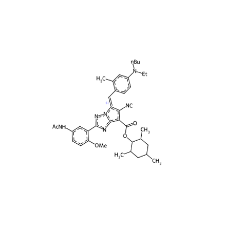 [C-]#[N+]c1c(C(=O)OC2C(C)CC(C)CC2C)c2nc(-c3cc(NC(C)=O)ccc3OC)nn2/c1=C/c1ccc(N(CC)CCCC)cc1C